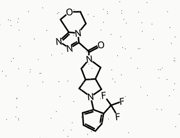 O=C(c1nnc2n1CCOC2)N1CC2CN(c3ccccc3C(F)(F)F)CC2C1